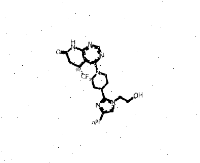 CCCc1cn(CCO)c(C2CCN(c3ncnc4c3[C@H](C(F)(F)F)CC(=O)N4)CC2)n1